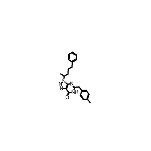 Cc1ccc(Cc2nc3c(nnn3C(C)CCCc3ccccc3)c(=O)[nH]2)cc1